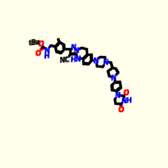 Cc1cc(-c2nn3c(c2C#N)Nc2ccc(N4CCN(CC5CCN(c6ccc(N7CCC(=O)NC7=O)cc6)CC5)CC4)cc2CC3)ccc1CNC(=O)OC(C)(C)C